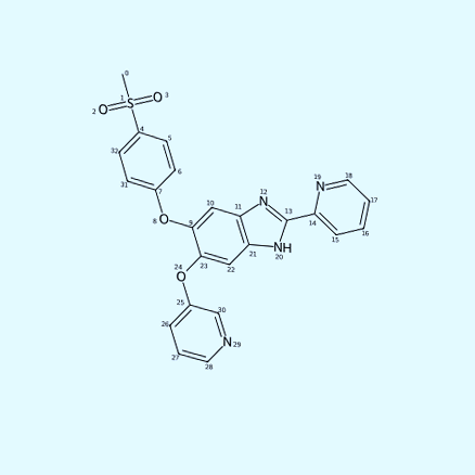 CS(=O)(=O)c1ccc(Oc2cc3nc(-c4ccccn4)[nH]c3cc2Oc2cccnc2)cc1